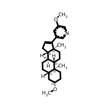 COc1cncc(C2=CC[C@H]3[C@@H]4CC[C@H]5C[C@@H](OC)CC[C@]5(C)[C@H]4CC[C@]23C)c1